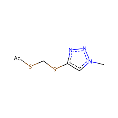 CC(=O)SCSc1cn(C)nn1